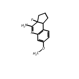 COc1ccc2c(c1)N=C(N)C1(F)CCCC21